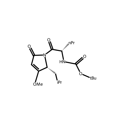 CCC[C@H](NC(=O)OC(C)(C)C)C(=O)N1C(=O)C=C(OC)[C@H]1CC(C)C